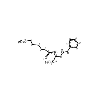 CCCCCCCCCCCCCCCC(=O)NC(COCc1ccccc1)C(=O)O